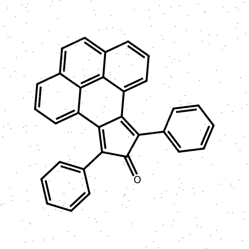 O=c1c(-c2ccccc2)c2c3cccc4ccc5cccc(c2c1-c1ccccc1)c5c43